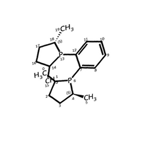 CC1CC[C@H](C)P1c1ccccc1P1C(C)CC[C@@H]1C